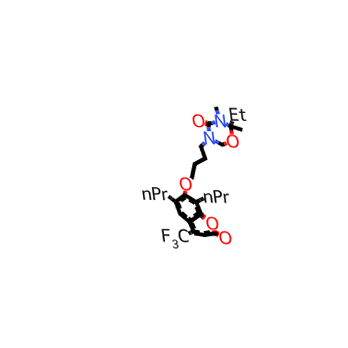 CCCc1cc2c(C(F)(F)F)cc(=O)oc2c(CCC)c1OCCCCN1COC(C)(CC)N(C)C1=O